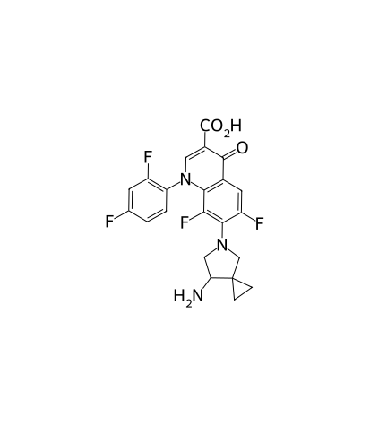 NC1CN(c2c(F)cc3c(=O)c(C(=O)O)cn(-c4ccc(F)cc4F)c3c2F)CC12CC2